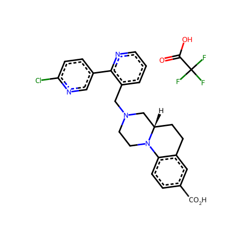 O=C(O)C(F)(F)F.O=C(O)c1ccc2c(c1)CC[C@H]1CN(Cc3cccnc3-c3ccc(Cl)nc3)CCN21